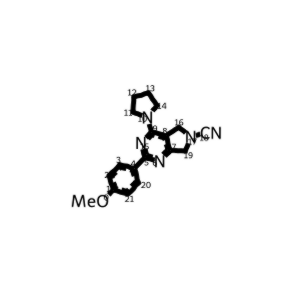 COc1ccc(-c2nc3c(c(N4CCCC4)n2)CN(C#N)C3)cc1